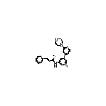 Cc1cc(NC(=O)C=Cc2ccccc2)cc(-c2ccnc(N3CCOCC3)c2)c1